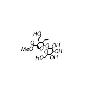 C=C[C@H]1[C@H](O[C@@H]2O[C@H](CO)[C@@H](O)[C@H](O)[C@H]2O)OC=C(C(=O)OC)[C@H]1CCO